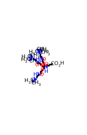 CN(C)C=NCCCNC(=O)CCOCC(COCCC(=O)NCCCN=C(N(C)C)N(C)C)(COCCC(=O)NCCCN=C(N(C)C)N(C)C)NC(=O)CCCC(=O)O